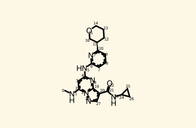 CNc1cc(Nc2cccc([C@@H]3CCCOC3)n2)nc2c(C(=O)NC3CC3)cnn12